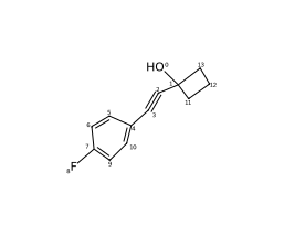 OC1(C#Cc2ccc(F)cc2)CCC1